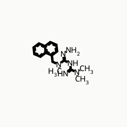 CN(C)C(=N)NC(=NN)N(C)Cc1cccc2ccccc12